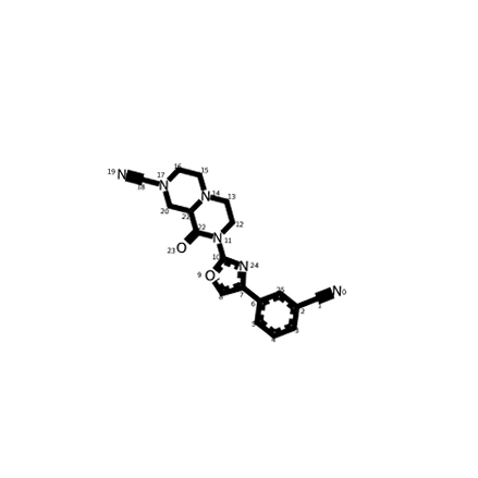 N#Cc1cccc(-c2coc(N3CCN4CCN(C#N)CC4C3=O)n2)c1